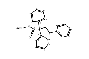 CC(=O)NOC(=O)C(CCc1ccccc1)(c1ccccc1)c1ccccc1